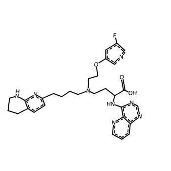 O=C(O)C(CCN(CCCCc1ccc2c(n1)NCCC2)CCOc1cncc(F)c1)Nc1ncnc2cccnc12